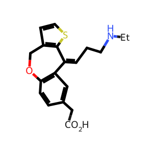 CCNCC/C=C1/c2cc(CC(=O)O)ccc2OCc2ccsc21